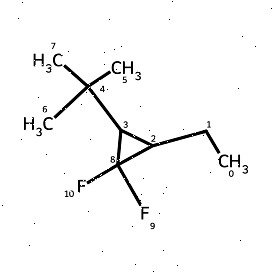 CCC1C(C(C)(C)C)C1(F)F